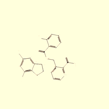 NC(=O)c1ncccc1CN(C(=O)c1ccccc1O)[C@@H]1CCc2c(F)cc(Cl)cc21